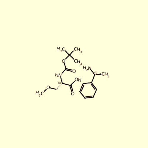 COC[C@H](NC(=O)OC(C)(C)C)C(=O)O.C[C@H](N)c1ccccc1